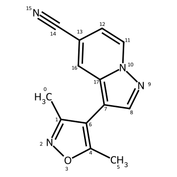 Cc1noc(C)c1-c1cnn2ccc(C#N)cc12